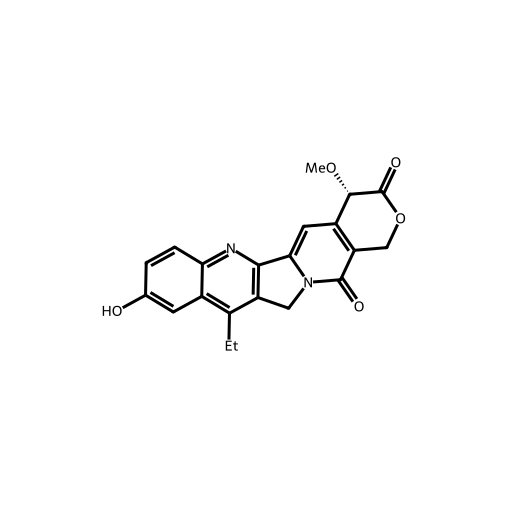 CCc1c2c(nc3ccc(O)cc13)-c1cc3c(c(=O)n1C2)COC(=O)[C@H]3OC